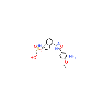 CC(C)Oc1ccc(-c2nc(-c3cccc4c3CC[C@@H]4NS(=O)(=O)CCO)no2)cc1N